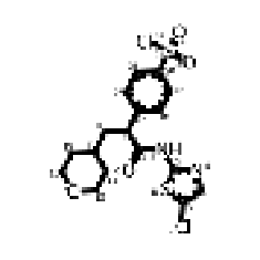 O=C(Nc1ncc(Cl)s1)C(CC1CCOCC1)c1ccc(S(=O)(=O)Cl)cc1